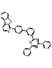 c1ccc(-c2nc(-c3ccccc3)nc(-c3cccc(-c4ccc(-c5nccc6c5sc5ccccc56)cc4)c3)n2)cc1